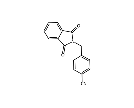 N#Cc1ccc(CN2C(=O)c3ccccc3C2=O)cc1